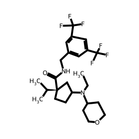 CCN(C1CCOCC1)C1CC[C@@](C(=O)NCc2cc(C(F)(F)F)cc(C(F)(F)F)c2)(C(C)C)C1